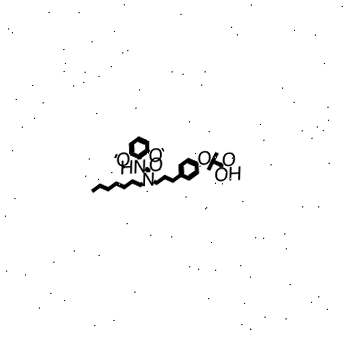 CCCCCCCN(CCCc1ccc(OC(C)(C)C(=O)O)cc1)C(=O)Nc1c(OC)cccc1OC